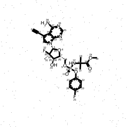 C#Cc1cn([C@@H]2O[C@H](COP(=O)(NC(C)(C)C(=O)OC)Oc3ccc(F)cc3)[C@@H](O)[C@@]2(C)F)c2ncnc(N)c12